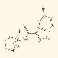 O=C(N[C@H]1CN2CCC1CC2)c1nsc2ccc(Br)cc12